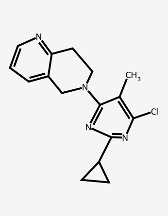 Cc1c(Cl)nc(C2CC2)nc1N1CCc2ncccc2C1